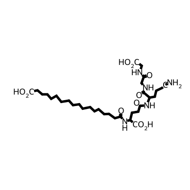 NCCCCC(NC(=O)CCC(NC(=O)CCCCCCCCCCCCCCCCC(=O)O)C(=O)O)C(=O)NCC(=O)NCC(=O)O